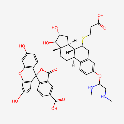 CNCC(NC)Oc1ccc2c(c1)CC(SCCC(=O)O)[C@@H]1[C@@H]2CC[C@]2(C)[C@@H](O)[C@H](O)C[C@@H]12.O=C(O)c1ccc2c(c1)C(=O)OC21c2ccc(O)cc2Oc2cc(O)ccc21